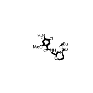 COc1cc(N)c(Cl)cc1C(=O)NCC1CN(C(=O)OC(C)(C)C)CCCO1